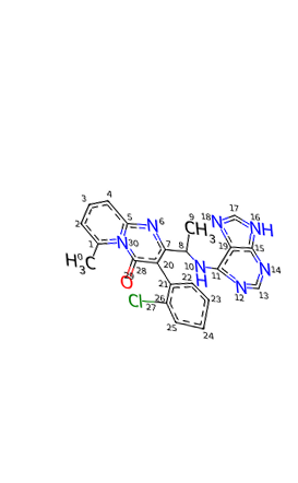 Cc1cccc2nc(C(C)Nc3ncnc4[nH]cnc34)c(-c3ccccc3Cl)c(=O)n12